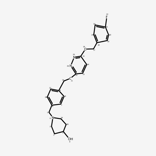 OC1CCN(Cc2ccc(CCc3ccc(OCc4ccc(F)cc4)nn3)cc2)CC1